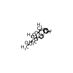 CCC(CC)(C(=O)OCOC(C)=O)[C@H]1CC[C@@H](c2cccc(F)c2)N1C(=O)[C@@H](C)N